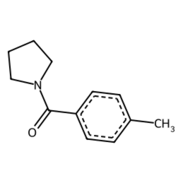 Cc1ccc(C(=O)N2CCCC2)cc1